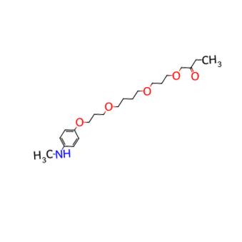 CCC(=O)COCCCOCCCCOCCCOc1ccc(NC)cc1